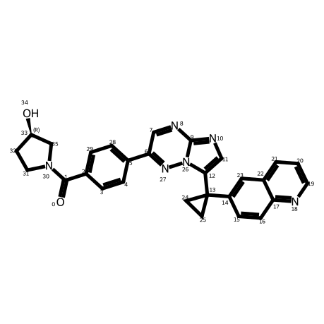 O=C(c1ccc(-c2cnc3ncc(C4(c5ccc6ncccc6c5)CC4)n3n2)cc1)N1CC[C@@H](O)C1